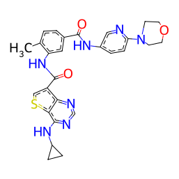 Cc1ccc(C(=O)Nc2ccc(N3CCOCC3)nc2)cc1NC(=O)c1csc2c(NC3CC3)ncnc12